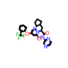 O=C(Nc1cnccn1)C(CC1CCCC1)n1ncc(Oc2ccccc2C(F)(F)F)cc1=O